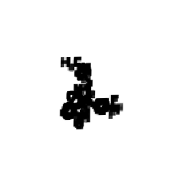 CN1CCN(CCCc2c(-c3ccc(C(F)(F)F)cc3)[nH]c(-c3ccccc3[N+](=O)[O-])c2C(N)=O)CC1